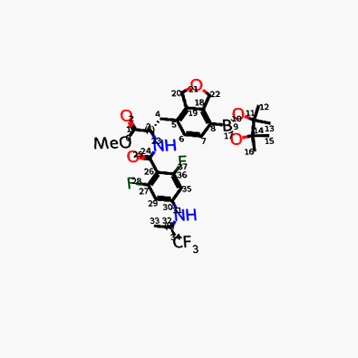 COC(=O)[C@H](Cc1ccc(B2OC(C)(C)C(C)(C)O2)c2c1COC2)NC(=O)c1c(F)cc(N[C@H](C)C(F)(F)F)cc1F